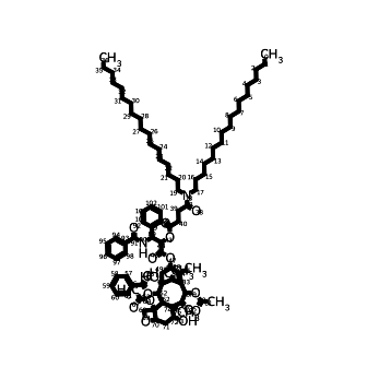 CCCCCCCCCCCCCCCCCCN(CCCCCCCCCCCCCCCCCC)C(=O)CCC(=O)OC(C(=O)OC1CC2(O)C(OC(=O)c3ccccc3)C3C4(OC(C)=O)COC4CC(O)C3(C)C(=O)C(OC(C)=O)C(=C1C)C2(C)C)C(NC(=O)c1ccccc1)c1ccccc1